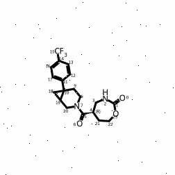 O=C1NC[C@H](C(=O)N2CCC3(c4ccc(C(F)(F)F)cc4)CC3C2)CCO1